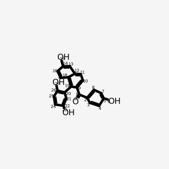 O=C(c1ccc(O)cc1)c1ccc2cc(O)ccc2c1-c1cc(O)ccc1O